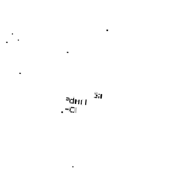 Cl.Cl.[Pd].[Sn]